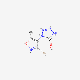 Cc1onc(Br)c1-n1nn[nH]c1=O